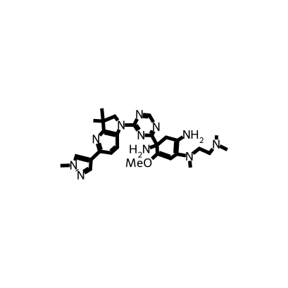 COC1=CC(N(C)CCN(C)C)=C(N)CC1(N)c1ncnc(N2CC(C)(C)c3nc(-c4cnn(C)c4)ccc32)n1